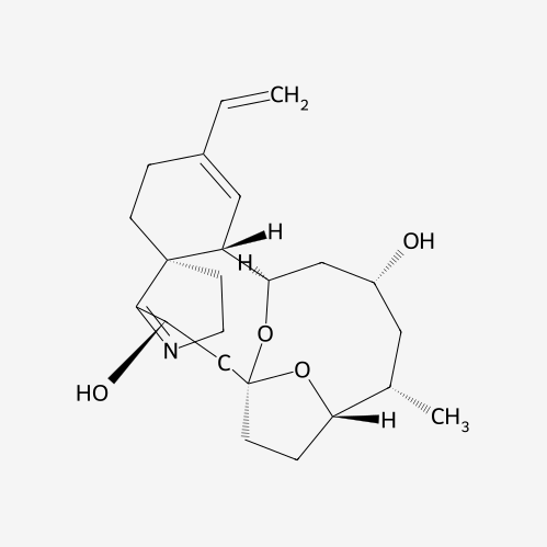 C=CC1=C[C@@H]2[C@H]3C[C@H](O)C[C@H](C)[C@@H]4CC[C@@](C[C@H](O)C5=NCC[C@@]52CC1)(O4)O3